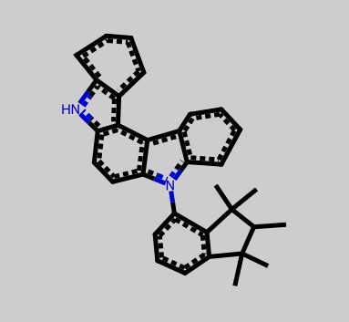 CC1C(C)(C)c2cccc(-n3c4ccccc4c4c5c(ccc43)[nH]c3ccccc35)c2C1(C)C